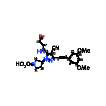 COc1cc(C#Cc2nn(C3CCN(C(=O)O)C3)c(NCCBr)c2C#N)cc(OC)c1